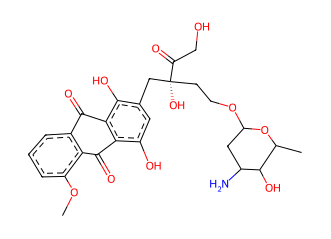 COc1cccc2c1C(=O)c1c(O)cc(C[C@](O)(CCOC3CC(N)C(O)C(C)O3)C(=O)CO)c(O)c1C2=O